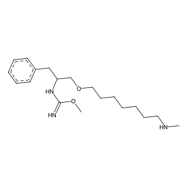 CNCCCCCCCOCC(Cc1ccccc1)NC(=N)OC